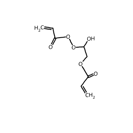 C=CC(=O)OCC(O)OOC(=O)C=C